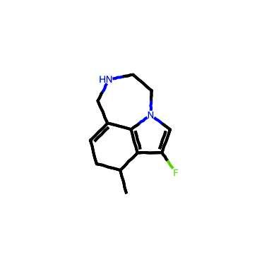 CC1CC=C2CNCCn3cc(F)c1c32